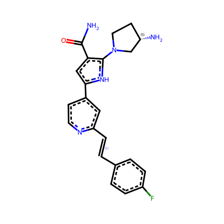 NC(=O)c1cc(-c2ccnc(/C=C/c3ccc(F)cc3)c2)[nH]c1N1CC[C@H](N)C1